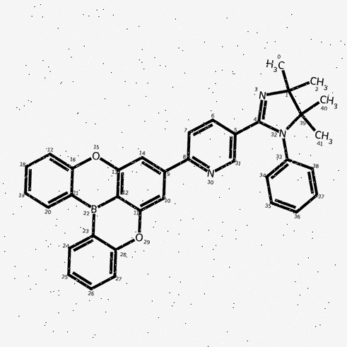 CC1(C)N=C(c2ccc(-c3cc4c5c(c3)Oc3ccccc3B5c3ccccc3O4)nc2)N(c2ccccc2)C1(C)C